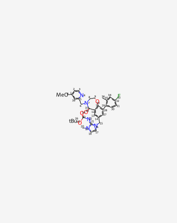 COc1ccnc(CN2CCOc3c(cc(Cn4ccn(C)c4=NC(=O)OC(C)(C)C)cc3-c3ccc(F)cc3C)C2=O)c1